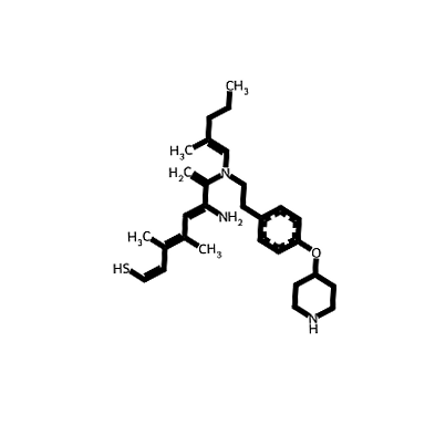 C=C(/C(N)=C/C(C)=C(C)/C=C\S)N(/C=C(\C)CCC)CCc1ccc(OC2CCNCC2)cc1